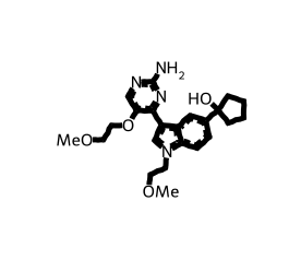 COCCOc1cnc(N)nc1-c1cn(CCOC)c2ccc(C3(O)CCCC3)cc12